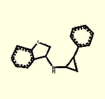 c1ccc(C2CC2NC2CSc3ccccc32)cc1